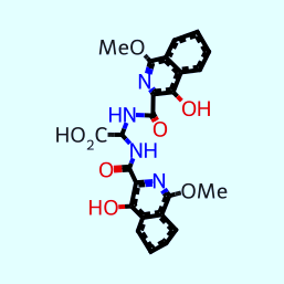 COc1nc(C(=O)NC(NC(=O)c2nc(OC)c3ccccc3c2O)C(=O)O)c(O)c2ccccc12